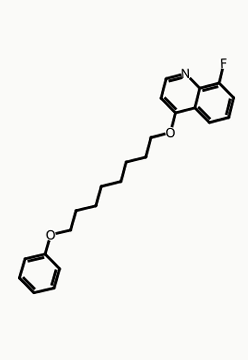 Fc1cccc2c(OCCCCCCCCOc3ccccc3)ccnc12